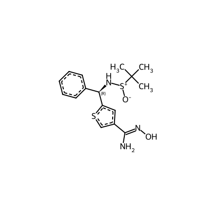 CC(C)(C)[S+]([O-])N[C@H](c1ccccc1)c1cc(C(N)=NO)cs1